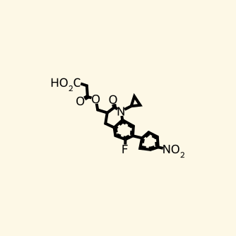 O=C(O)CC(=O)OCC1Cc2cc(F)c(-c3ccc([N+](=O)[O-])cc3)cc2N(C2CC2)C1=O